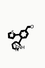 O=Cc1ccc(C2CNN3CCC2CC3)c(-c2cccs2)c1